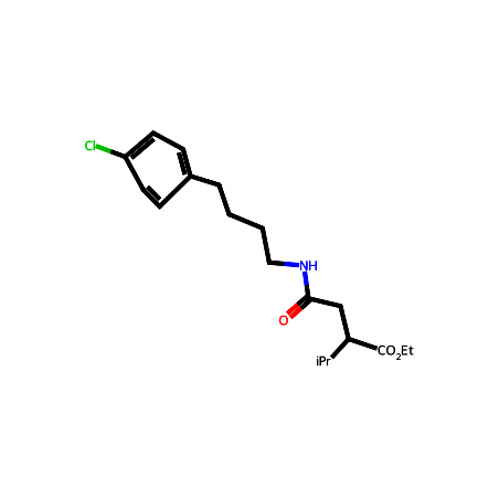 CCOC(=O)C(CC(=O)NCCCCc1ccc(Cl)cc1)C(C)C